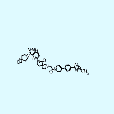 Cn1cnc(-c2ccc(C3=CCN(C(=O)CN4CC[C@]5(CCN(c6ccc7[nH]nc(N8CCC9(CC8)COC9)c7n6)C5=O)C4)CC3)cc2)n1